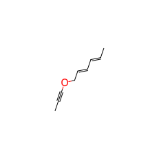 CC#COC/C=C/C=C/C